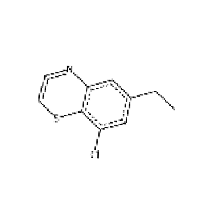 CCc1cc(Cl)c2c(c1)N=C=CS2